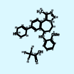 COc1ccccc1NC1CCn2nnc(C)c2-c2ccc(C3=CCNCC3)cc21.O=C(O)C(F)(F)F